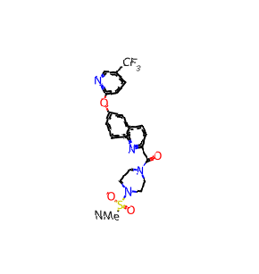 CNS(=O)(=O)N1CCN(C(=O)c2ccc3cc(Oc4ccc(C(F)(F)F)cn4)ccc3n2)CC1